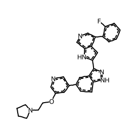 Fc1ccccc1-c1cncc2[nH]c(-c3n[nH]c4ccc(-c5cncc(OCCN6CCCC6)c5)cc34)cc12